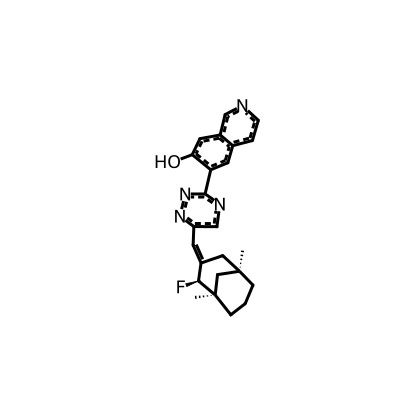 C[C@]12CCC[C@](C)(C1)[C@@H](F)/C(=C/c1cnc(-c3cc4ccncc4cc3O)nn1)C2